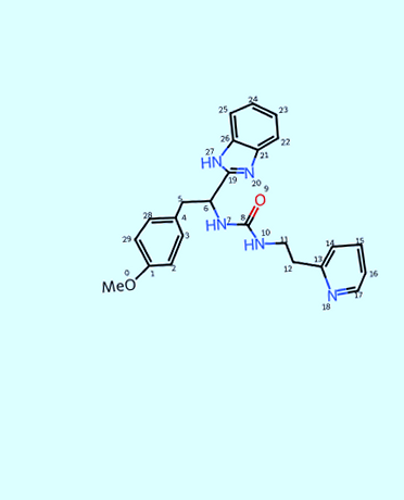 COc1ccc(CC(NC(=O)NCCc2ccccn2)c2nc3ccccc3[nH]2)cc1